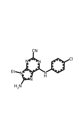 CCn1c(N)nc2c(Nc3ccc(Cl)cc3)nc(C#N)nc21